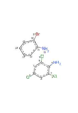 Nc1c(Cl)cc(Cl)cc1Cl.Nc1ccccc1Br